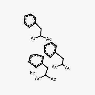 CC(=O)C(Cc1ccccc1)C(C)=O.CC(=O)C(Cc1ccccc1)C(C)=O.CC(=O)C(Cc1ccccc1)C(C)=O.[Fe]